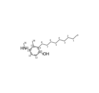 CCCCCCCCCc1c(O)ccc(NC)c1C